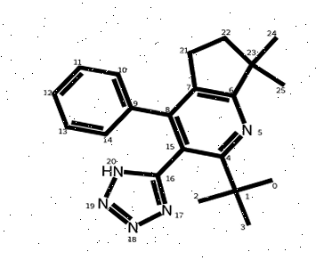 CC(C)(C)c1nc2c(c(-c3ccccc3)c1-c1nnn[nH]1)CCC2(C)C